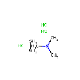 CN(C)C.Cl.Cl.Cl.[SiH3][SiH3]